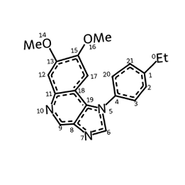 CCc1ccc(-n2cnc3cnc4cc(OC)c(OC)cc4c32)cc1